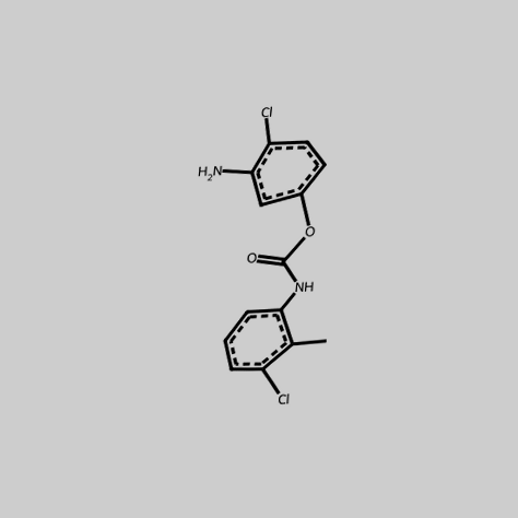 Cc1c(Cl)cccc1NC(=O)Oc1ccc(Cl)c(N)c1